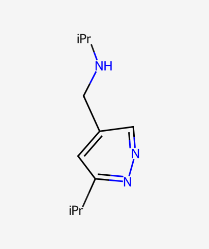 CC(C)NCc1cnnc(C(C)C)c1